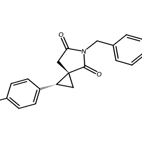 O=C1C[C@]2(C[C@@H]2c2ccc(F)cc2)C(=O)N1Cc1ccccc1